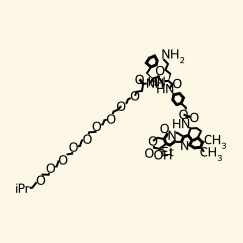 CC[C@@]1(O)C(=O)OCc2c1cc1n(c2=O)Cc2c-1nc1cc(C)c(C)c3c1c2[C@@H](NC(=O)OCc1ccc(NC(=O)[C@H](CCCCN)NC(=O)[C@H](Cc2ccccc2)NC(=O)CCOCCOCCOCCOCCOCCOCCOCCOCCOCCC(C)C)cc1)CC3